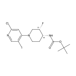 CC(C)(C)OC(=O)N[C@@H]1CCN(c2cc(Cl)ncc2I)C[C@@H]1F